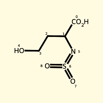 O=C(O)C(CCO)N=S(=O)=O